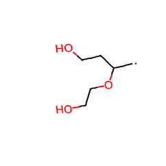 [CH2]C(CCO)OCCO